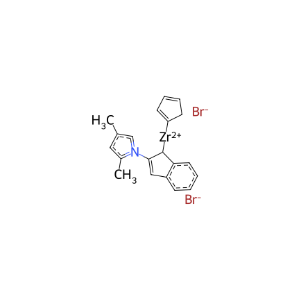 Cc1cc(C)n(C2=Cc3ccccc3[CH]2[Zr+2][C]2=CC=CC2)c1.[Br-].[Br-]